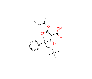 CCC(C)OC(=O)C(C(=O)O)C(=O)C(C)(CCC(C)(C)C)c1ccccc1